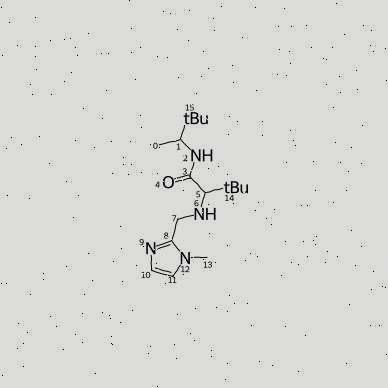 CC(NC(=O)C(NCc1nccn1C)C(C)(C)C)C(C)(C)C